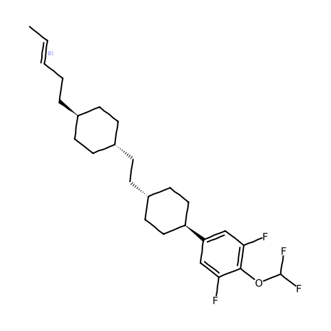 C/C=C/CC[C@H]1CC[C@H](CC[C@H]2CC[C@H](c3cc(F)c(OC(F)F)c(F)c3)CC2)CC1